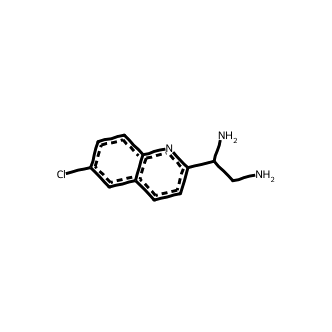 NCC(N)c1ccc2cc(Cl)ccc2n1